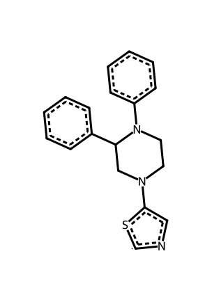 [c]1ncc(N2CCN(c3ccccc3)C(c3ccccc3)C2)s1